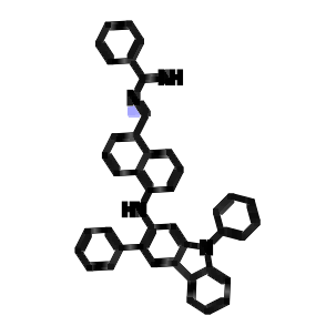 N=C(/N=C/c1cccc2c(Nc3cc4c(cc3-c3ccccc3)c3ccccc3n4-c3ccccc3)cccc12)c1ccccc1